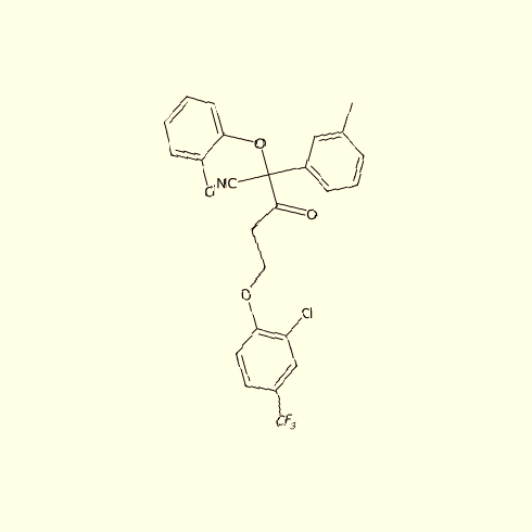 Cc1cccc(C(C#N)(Oc2ccccc2Cl)C(=O)CCOc2ccc(C(F)(F)F)cc2Cl)c1